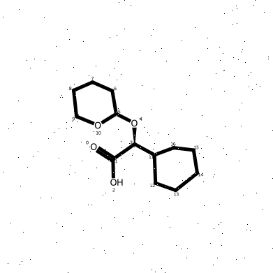 O=C(O)[C@@H](OC1CCCCO1)C1CCCCC1